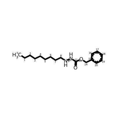 CCCCCCCCCNNC(=O)OCc1ccccc1